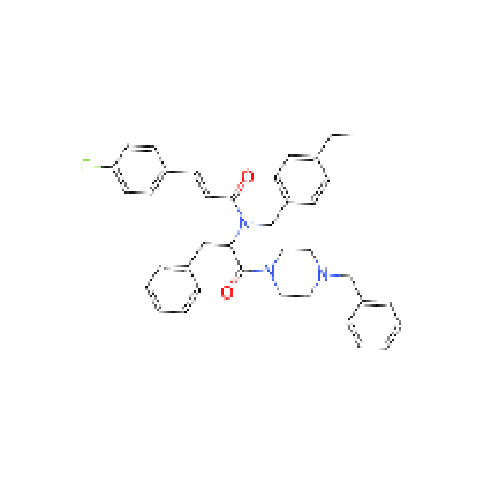 CCc1ccc(CN(C(=O)C=Cc2ccc(F)cc2)C(Cc2ccccc2)C(=O)N2CCN(Cc3ccccc3)CC2)cc1